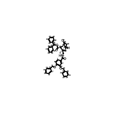 C[C@@]1(CNC(=O)c2ccc(OCc3ccccc3)c(OCc3ccccc3)c2)S[C@@H]2CC(=O)N2[C@H]1C(=O)OC(c1ccccc1)c1ccccc1